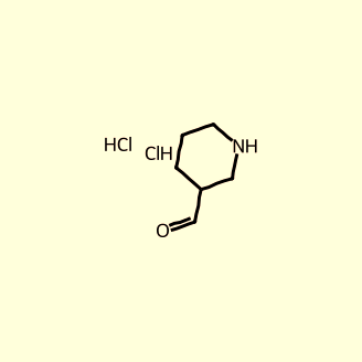 Cl.Cl.O=CC1CCCNC1